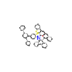 c1ccc(-c2ccc(-c3ccccc3)c(-c3ccc(N(c4c(-c5cccc6ccccc56)c5ccccc5c5ccccc45)c4cccc5c4sc4ccccc45)cc3)c2)cc1